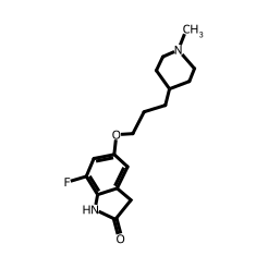 CN1CCC(CCCOc2cc(F)c3c(c2)CC(=O)N3)CC1